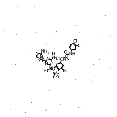 CCCC(=O)Oc1c(Br)cc(C#N)cc1Br.CCNc1nc(Cl)nc(NCC)n1.CN(C)C(=O)Nc1ccc(Cl)c(Cl)c1.Nc1nc[nH]n1